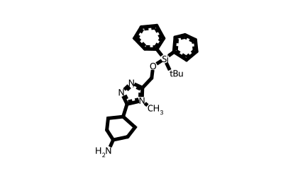 Cn1c(CO[Si](c2ccccc2)(c2ccccc2)C(C)(C)C)nnc1C1CCC(N)CC1